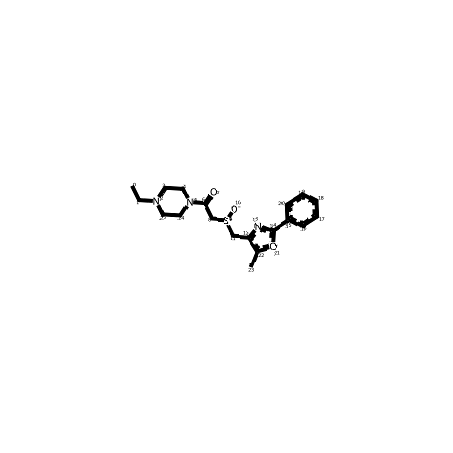 CCN1CCN(C(=O)C[S+]([O-])Cc2nc(-c3ccccc3)oc2C)CC1